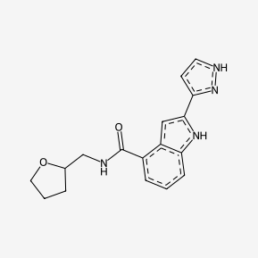 O=C(NCC1CCCO1)c1cccc2[nH]c(-c3cc[nH]n3)cc12